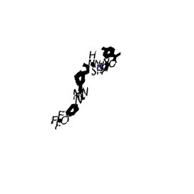 Cc1ccc(C(C)C)c(N2C(=O)CS/C2=N\C(S)NC(C)Cc2cccc(-c3ncn(-c4ccc(OC(F)(F)F)cc4)n3)c2)c1